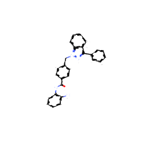 Nc1ccccc1NC(=O)c1ccc(Cn2nc(-c3ccccc3)c3ccccc32)cc1